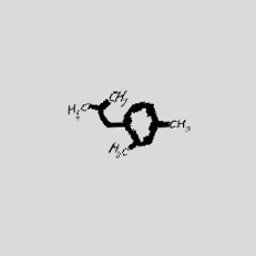 C=C(C)Cc1ccc(C)cc1C